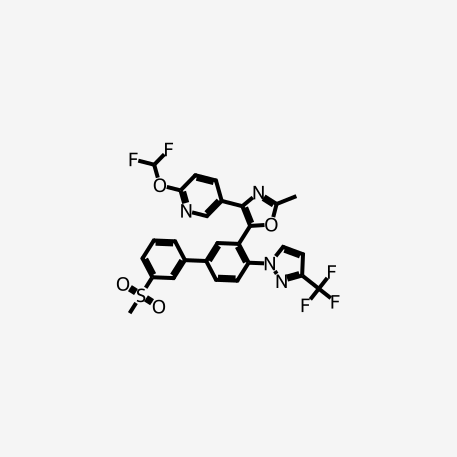 Cc1nc(-c2ccc(OC(F)F)nc2)c(-c2cc(-c3cccc(S(C)(=O)=O)c3)ccc2-n2ccc(C(F)(F)F)n2)o1